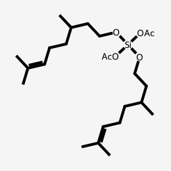 CC(=O)O[Si](OCCC(C)CCC=C(C)C)(OCCC(C)CCC=C(C)C)OC(C)=O